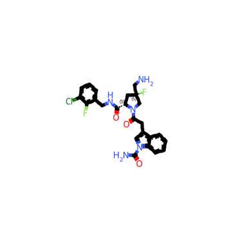 NC[C@@]1(F)C[C@@H](C(=O)NCc2cccc(Cl)c2F)N(C(=O)Cc2cn(C(N)=O)c3ccccc23)C1